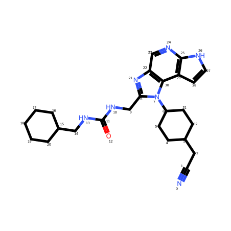 N#CCC1CCC(n2c(CNC(=O)NCC3CCCCC3)nc3cnc4[nH]ccc4c32)CC1